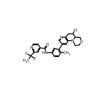 CCC1Cc2ncc(-c3cc(NC(=O)c4ccnc(C(C)(F)F)c4)ccc3C)cc2N2CCOCC12